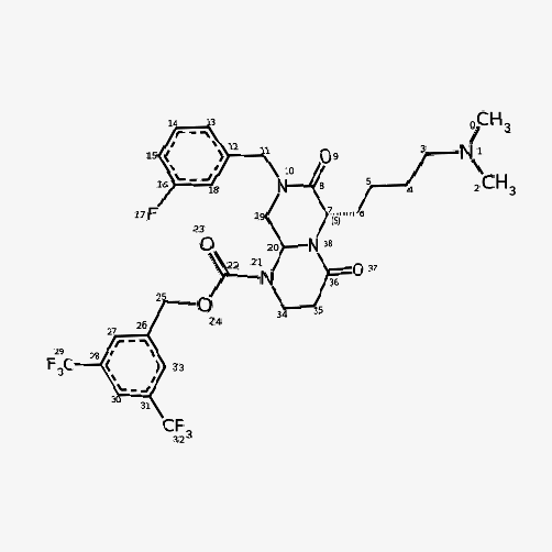 CN(C)CCCC[C@H]1C(=O)N(Cc2cccc(F)c2)CC2N(C(=O)OCc3cc(C(F)(F)F)cc(C(F)(F)F)c3)CCC(=O)N21